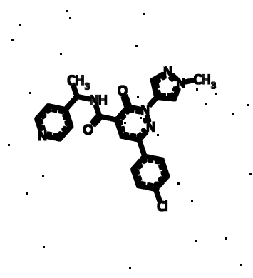 CC(NC(=O)c1cc(-c2ccc(Cl)cc2)nn(-c2cnn(C)c2)c1=O)c1ccncc1